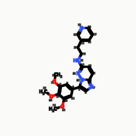 COc1cc(-c2cnc3ccc(NCCc4cccnc4)nn23)cc(OC)c1OC